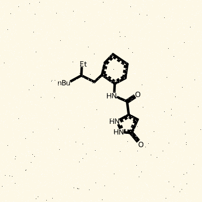 CCCCC(CC)Cc1ccccc1NC(=O)c1cc(=O)[nH][nH]1